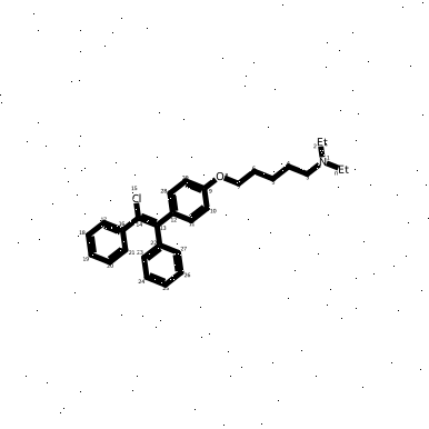 CCN(CC)CCCCCOc1ccc(C(=C(Cl)c2ccccc2)c2ccccc2)cc1